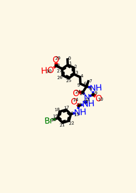 Cc1cc(CCC2(C)NC(=O)N(NC(=O)Nc3ccc(Br)cc3)C2=O)ccc1C(=O)O